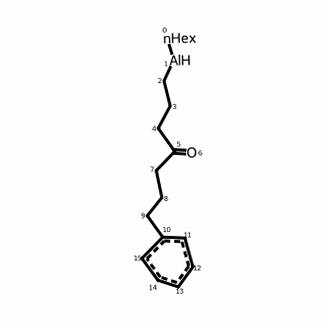 CCCCC[CH2][AlH][CH2]CCC(=O)CCCc1ccccc1